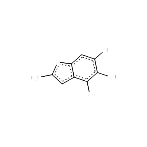 Cc1cc2c(C)c(O)c(O)cc2[nH]1